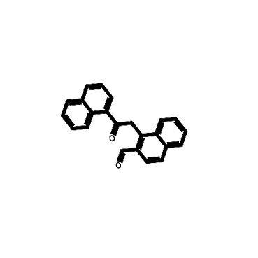 O=Cc1ccc2ccccc2c1CC(=O)c1cccc2ccccc12